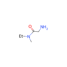 CCN(C)C(=O)CN